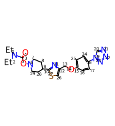 CCN(CC)C(=O)ON1CCC(c2nc(COc3ccc(-n4cnnn4)cc3)cs2)CC1